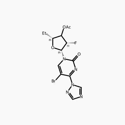 CC[C@H]1O[C@@H](n2cc(Br)c(-n3cncn3)nc2=O)[C@@H](F)C1OC(C)=O